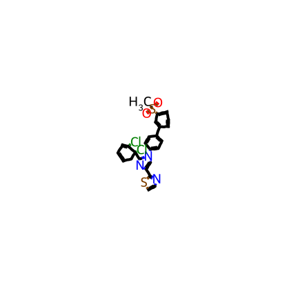 CS(=O)(=O)c1cccc(-c2ccc(-n3cc(-c4nccs4)nc3C3(Cl)CC=CC=C3Cl)cc2)c1